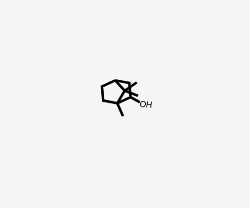 CC1(C)C2[CH]C(O)C1(C)CC2